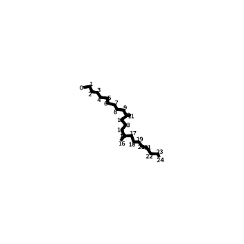 CCCCCCCCCCC(C)CCCC(C)CCCCCCCC